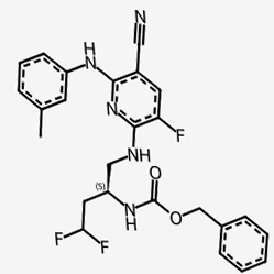 Cc1cccc(Nc2nc(NC[C@H](CC(F)F)NC(=O)OCc3ccccc3)c(F)cc2C#N)c1